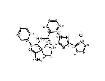 NC(=O)C1(C(Cc2ccccc2)NC(=O)c2cccnc2-n2ccc(-c3sccc3Cl)n2)OCCO1